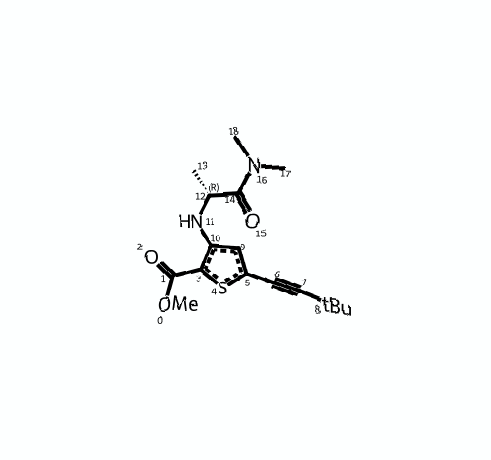 COC(=O)c1sc(C#CC(C)(C)C)cc1N[C@H](C)C(=O)N(C)C